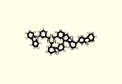 c1ccc(-c2nc(-c3cccc(-n4c5ccccc5c5ccccc54)c3)nc(-c3cccc4oc5ccc(-c6cccc7oc8c(-c9ccc%10c(c9)sc9ccccc9%10)cccc8c67)cc5c34)n2)cc1